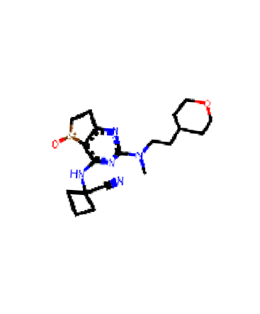 CN(CCC1CCOCC1)c1nc2c(c(NC3(C#N)CCC3)n1)[S+]([O-])CC2